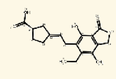 CCc1c(C)c2c(c(O)c1C/C=C1\CC[C@@H](C(=O)O)C1)C(=O)OC2